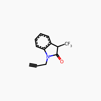 C#CCN1C(=O)C(C(F)(F)F)c2ccccc21